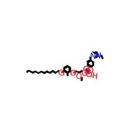 CCCCCCCCCCCCOc1cccc(OCC(COP(=O)(O)Oc2ccc(CN3C=CN(CC)C3)cc2)OCC)c1C